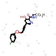 O=C(O)CNC(=O)c1ncc(C#CCOc2ccc(F)cc2)cc1O